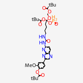 COc1cc(-c2cnc3ccc(NC(=O)NCCCCC(OCOC(=O)C(C)(C)C)(O[PH2]=O)OC(=O)C(C)(C)C)nc3n2)ccc1OC(=O)C(C)(C)C